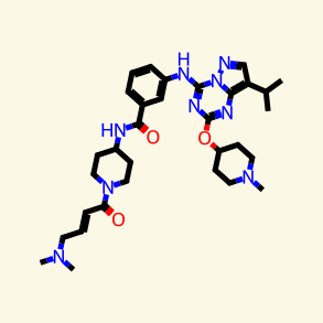 CC(C)c1cnn2c(Nc3cccc(C(=O)NC4CCN(C(=O)C=CCN(C)C)CC4)c3)nc(OC3CCN(C)CC3)nc12